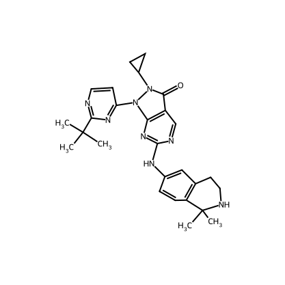 CC(C)(C)c1nccc(-n2c3nc(Nc4ccc5c(c4)CCNC5(C)C)ncc3c(=O)n2C2CC2)n1